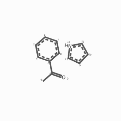 CC(=O)c1ccccc1.c1cc[nH]c1